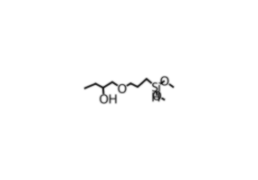 CCC(O)COCCC[SiH](OC)OC